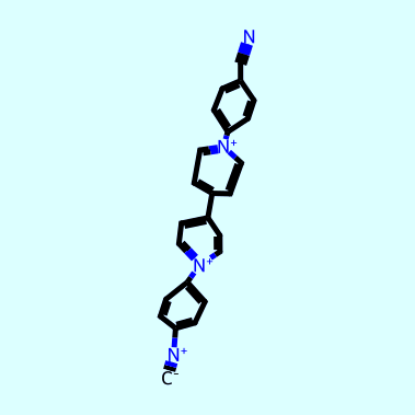 [C-]#[N+]c1ccc(-[n+]2ccc(-c3cc[n+](-c4ccc(C#N)cc4)cc3)cc2)cc1